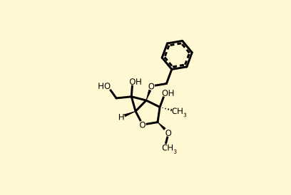 CO[C@H]1O[C@@H]2C(O)(CO)[C@]2(OCc2ccccc2)[C@@]1(C)O